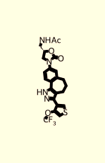 CC(=O)NC[C@H]1CN(c2ccc3c(c2)CCCc2c(-c4cscc4OC(F)(F)F)n[nH]c2-3)C(=O)O1